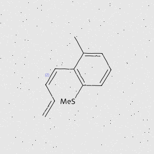 C=C/C=C\c1c(C)cccc1SC